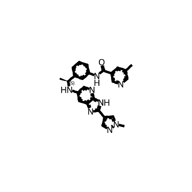 Cc1cncc(C(=O)Nc2cccc([C@H](C)Nc3cnc4[nH]c(-c5cnn(C)c5)nc4c3)c2)c1